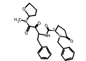 CN(C(=O)C(=O)C(Cc1ccccc1)NC(=O)[C@H]1CCC(=O)N1Cc1ccccc1)C1CCCO1